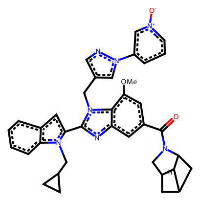 COc1cc(C(=O)N2CC3CC4CC2[C@H]43)cc2nc(-c3cc4ccccc4n3CC3CC3)n(Cc3cnn(-c4ccc[n+]([O-])c4)c3)c12